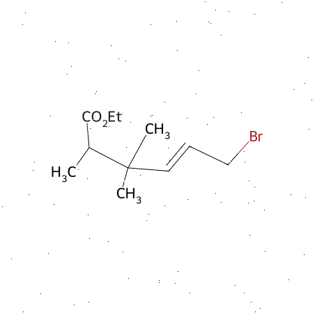 CCOC(=O)C(C)C(C)(C)C=CCBr